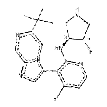 CC(C)(C)c1cn2c(-c3c(F)ccnc3N[C@H]3CNC[C@@H]3F)cnc2cn1